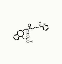 O=C(O)CC1CC(CNC(=O)CCCNc2ccccn2)=CCc2ccccc21